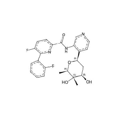 C[C@H]1O[C@@H](c2ccncc2NC(=O)c2ccc(F)c(-c3ccccc3F)n2)C[C@@H](O)[C@]1(C)O